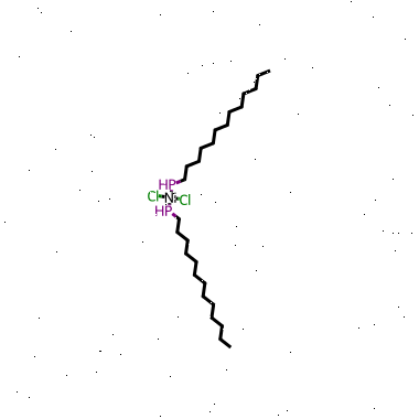 CCCCCCCCCCCCC[PH][Ni]([Cl])([Cl])[PH]CCCCCCCCCCCCC